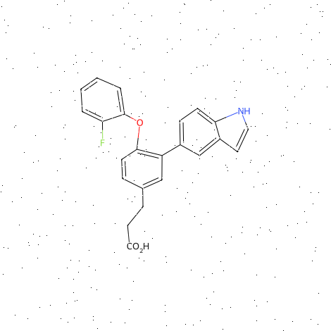 O=C(O)CCc1ccc(Oc2ccccc2F)c(-c2ccc3[nH]ccc3c2)c1